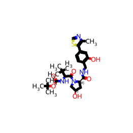 Cc1ncsc1-c1ccc(CNC(=O)[C@H]2C[C@@H](O)CN2C(=O)C(NC(=O)OC(C)(C)C)C(C)(C)C)c(O)c1